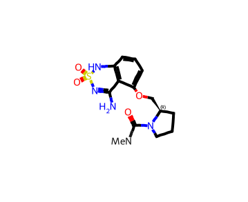 CNC(=O)N1CCC[C@@H]1COc1cccc2c1C(N)=NS(=O)(=O)N2